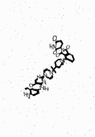 C=Cc1cc(Nc2nc(N3CCN(C(C)(C)C4CCN(c5cccc6c5C(=O)N(C5CCC(=O)NC5=O)C6=O)CC4)CC3)ncc2Cl)ccc1NC